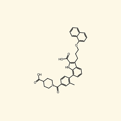 Cc1cc(C(=O)N2CCC(C(=O)O)CC2)ccc1-c1cccc2c(CCCOc3cccc4ccccc34)c(C(=O)O)[nH]c12